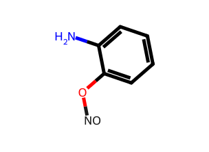 Nc1ccccc1ON=O